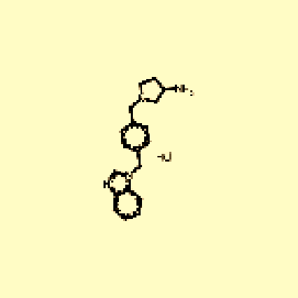 Cl.NC1CCN(Cc2ccc(Cn3cnc4ccccc43)cc2)C1